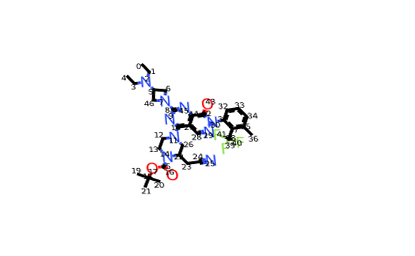 CCN(CC)C1CN(c2nc(N3CCN(C(=O)OC(C)(C)C)C(CC#N)C3)c3cnn(-c4cccc(C)c4C(F)(F)F)c(=O)c3n2)C1